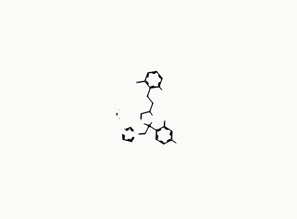 Clc1ccc(C2(Cn3ccnc3)OCC(CCc3c(Cl)cccc3Cl)O2)c(Cl)c1.O=[N+]([O-])O